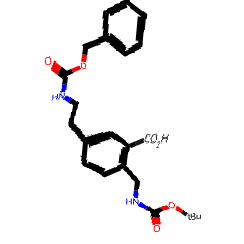 CC(C)(C)OC(=O)NCc1ccc(CCNC(=O)OCc2ccccc2)cc1C(=O)O